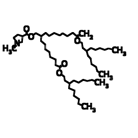 C=C(CCCCCCCC(CCCCCCCC(=O)OCCC(CCCCCC)CCCCCC)COC(=O)C1CCN(C)C1)OCCC(CCCCCC)CCCCCC